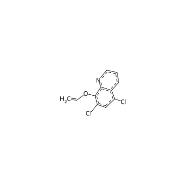 C=COc1c(Cl)cc(Cl)c2cccnc12